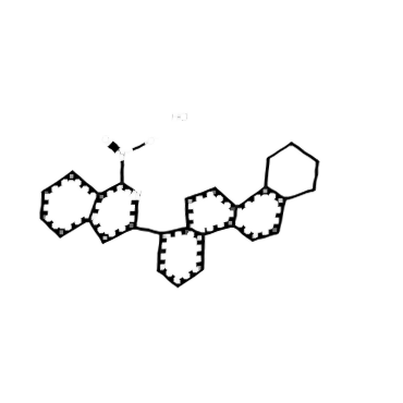 Cl.O=[N+]([O-])c1nc(-c2cccc3c2ccc2c4c(ccc23)CCCC4)cc2ccccc12